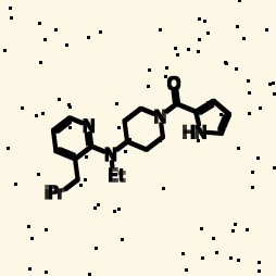 CCN(c1ncccc1CC(C)C)C1CCN(C(=O)c2ccc[nH]2)CC1